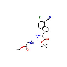 CCOC(=O)CNCCNC(C(=O)OC(C)(C)C)C1CCc2c1ccc(F)c2C#N